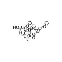 C=C(C)C(=O)OCc1ccccc1.C=CC(=O)OCc1ccccc1.CC(=COc1ccccc1)C(=O)O.O=C(O)C=COc1ccccc1